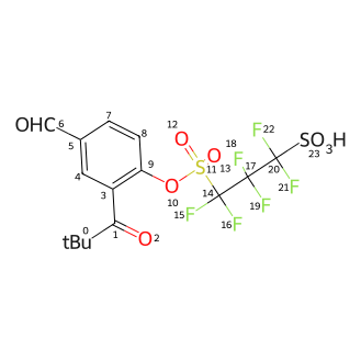 CC(C)(C)C(=O)c1cc(C=O)ccc1OS(=O)(=O)C(F)(F)C(F)(F)C(F)(F)S(=O)(=O)O